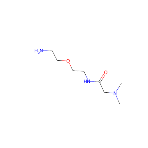 CN(C)CC(=O)NCCOCCN